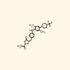 Cc1cc(N2CCC(C(F)(F)F)CC2)c(C)cc1Nc1ccc(CN2CC(C(N)=O)CC2=O)cc1